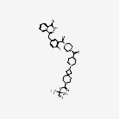 CC(C)(C)OC(=O)N1CCC2(CC1)CC(N1CCC(C(=O)N3CCN(C(=O)c4cc(Cc5n[nH]c(=O)c6ccccc56)ccc4F)CC3)CC1)C2